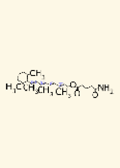 CC1=C(/C=C/C(C)=C/C=C/C(C)=C/COC(=O)CCCC(N)=O)C(C)(C)CCC1